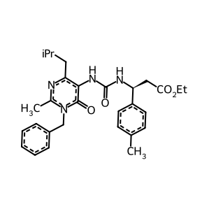 CCOC(=O)C[C@H](NC(=O)Nc1c(CC(C)C)nc(C)n(Cc2ccccc2)c1=O)c1ccc(C)cc1